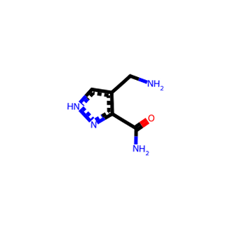 NCc1c[nH]nc1C(N)=O